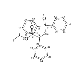 CCOC(=O)C(SP(=O)(c1ccccc1)c1ccccc1)c1ccccc1